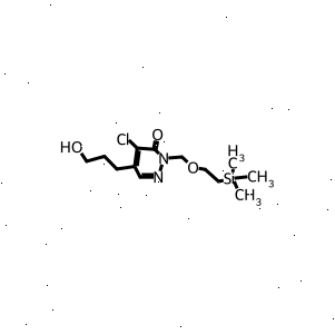 C[Si](C)(C)CCOCn1ncc(CCCO)c(Cl)c1=O